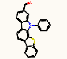 O=Cc1ccc2c3ccc4c5ccccc5sc4c3n(-c3ccccc3)c2c1